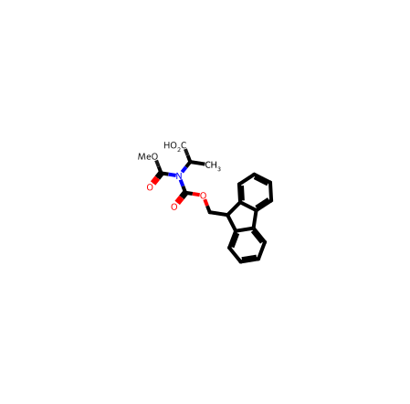 COC(=O)N(C(=O)OCC1c2ccccc2-c2ccccc21)C(C)C(=O)O